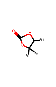 [2H]C1OC(=O)OC1([2H])[2H]